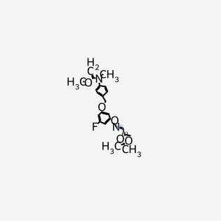 C=C(OC)N(C)c1ccc(COc2cc(F)cc(O/N=C/[C@H]3COC(C)(C)O3)c2)cc1